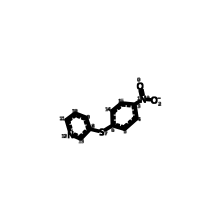 O=[N+]([O-])c1ccc(Sc2cccnc2)cc1